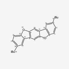 CCC(C)c1ccc2oc3cc4c(cc3c2c1)oc1ccc(C(C)CC)cc14